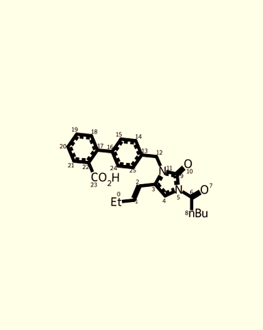 CC/C=C/c1cn(C(=O)CCCC)c(=O)n1Cc1ccc(-c2ccccc2C(=O)O)cc1